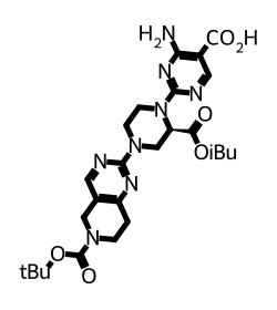 CC(C)COC(=O)[C@H]1CN(c2ncc3c(n2)CCN(C(=O)OC(C)(C)C)C3)CCN1c1ncc(C(=O)O)c(N)n1